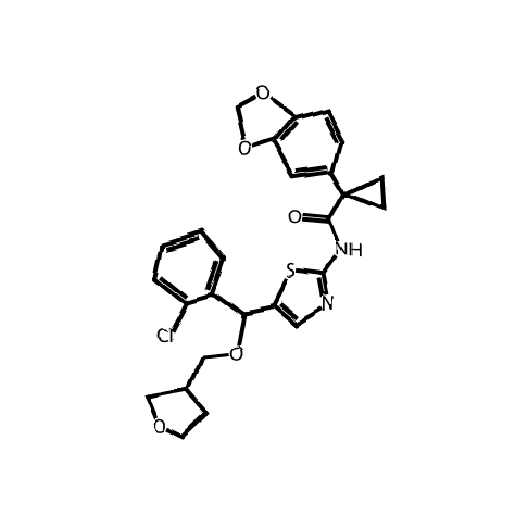 O=C(Nc1ncc(C(OCC2CCOC2)c2ccccc2Cl)s1)C1(c2ccc3c(c2)OCO3)CC1